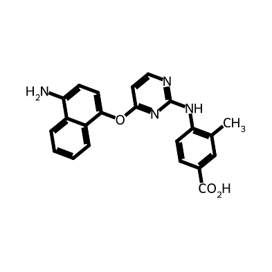 Cc1cc(C(=O)O)ccc1Nc1nccc(Oc2ccc(N)c3ccccc23)n1